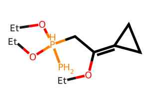 CCOC(C[PH](P)(OCC)OCC)=C1CC1